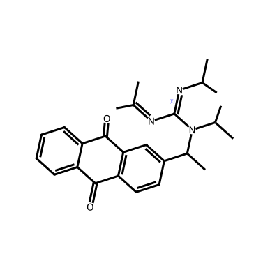 CC(C)=N/C(=N/C(C)C)N(C(C)C)C(C)c1ccc2c(c1)C(=O)c1ccccc1C2=O